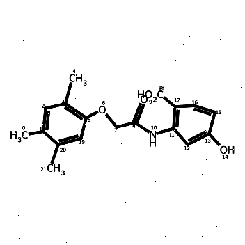 Cc1cc(C)c(OCC(=O)Nc2cc(O)ccc2C(=O)O)cc1C